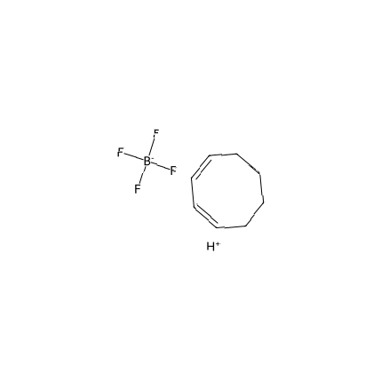 C1=CCCCCC=C1.F[B-](F)(F)F.[H+]